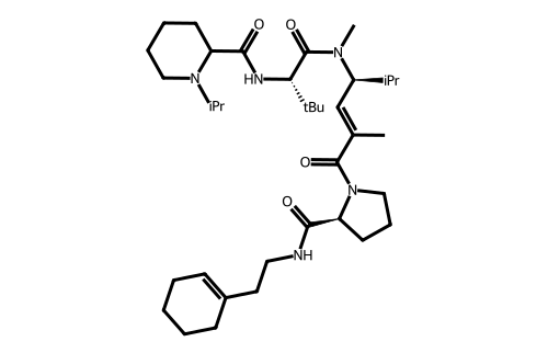 C/C(=C\[C@H](C(C)C)N(C)C(=O)[C@@H](NC(=O)C1CCCCN1C(C)C)C(C)(C)C)C(=O)N1CCC[C@H]1C(=O)NCCC1=CCCCC1